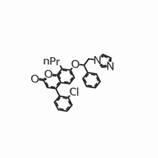 CCCc1c(OC(Cn2ccnc2)c2ccccc2)ccc2c(-c3ccccc3Cl)cc(=O)oc12